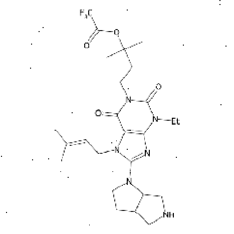 CCn1c(=O)n(CCC(C)(C)OC(=O)C(F)(F)F)c(=O)c2c1nc(N1CCC3CNCC31)n2CC=C(C)C